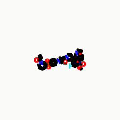 C=CC(=O)N1CCCC[C@@H](S(=O)(=O)c2ccc(N3CC(CN4CCC([C@@](CN5CCC5)(c5cccc(F)c5)[C@H]5CCC[C@@H]5NC(=O)OC)CC4)(OC)C3)cc2)C1